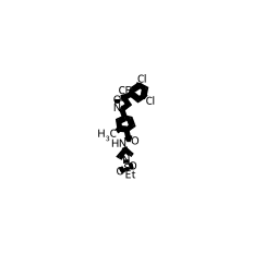 CCS(=O)(=O)N1CC(NC(=O)c2ccc(C3=NOC(c4cc(Cl)cc(Cl)c4)(C(F)(F)F)C3)cc2C)C1